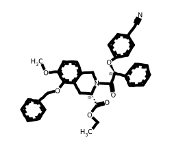 CCOC(=O)[C@@H]1Cc2c(ccc(OC)c2OCc2ccccc2)CN1C(=O)[C@@H](Oc1ccc(C#N)cc1)c1ccccc1